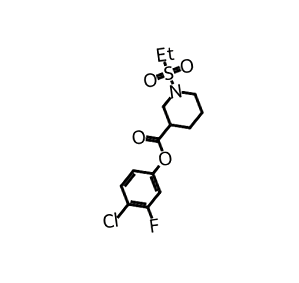 CCS(=O)(=O)N1CCCC(C(=O)Oc2ccc(Cl)c(F)c2)C1